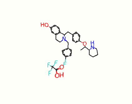 CC(Oc1ccc(CC2c3ccc(O)cc3CCN2Cc2ccc(F)cc2)cc1)C1CCCCN1.O=C(O)C(F)(F)F